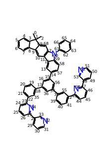 CC1(C)c2ccccc2-c2cc3c4cc(-c5cc(-c6cccc(-c7cccc(-c8cccnc8)n7)c6)cc(-c6cccc(-c7cccc(-c8cccnc8)n7)c6)c5)ccc4n(-c4ccccc4)c3cc21